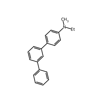 CCN(C)c1ccc(-c2cccc(-c3ccccc3)c2)cc1